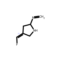 C=NC1C/C(=C/F)CN1